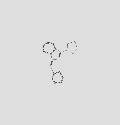 C(=C1/N=C(N2CCCC2)c2ccccc21)/c1ccccc1